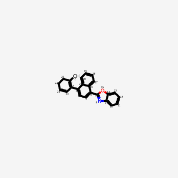 CC1=C(c2ccc(-c3nc4ccccc4o3)c3ccccc23)C=CCC1